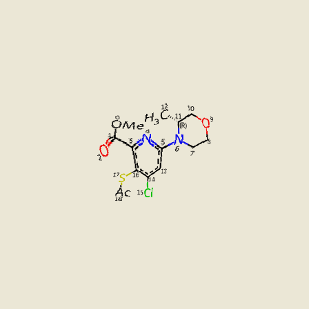 COC(=O)c1nc(N2CCOC[C@H]2C)cc(Cl)c1SC(C)=O